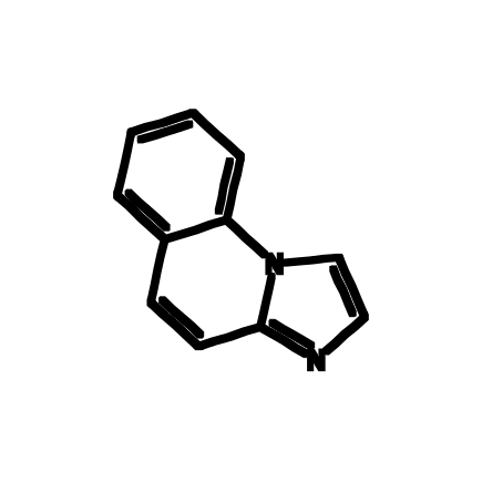 c1ccc2c(c1)ccc1nccn12